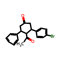 CC(=O)C1C(c2ccccc2)CC(=O)CC1c1ccc(Br)cc1